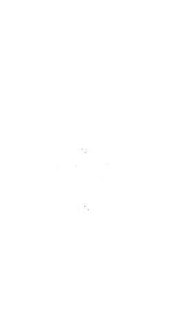 O=C(NCc1ccco1)c1c[nH]c2ccccc2c1=O